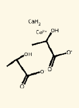 CC(O)C(=O)[O-].CC(O)C(=O)[O-].[Ca+2].[CaH2]